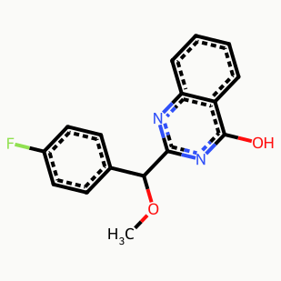 COC(c1ccc(F)cc1)c1nc(O)c2ccccc2n1